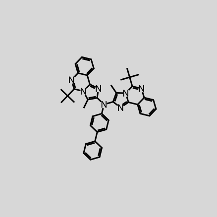 Cc1c(N(c2ccc(-c3ccccc3)cc2)c2nc3c4ccccc4nc(C(C)(C)C)n3c2C)nc2c3ccccc3nc(C(C)(C)C)n12